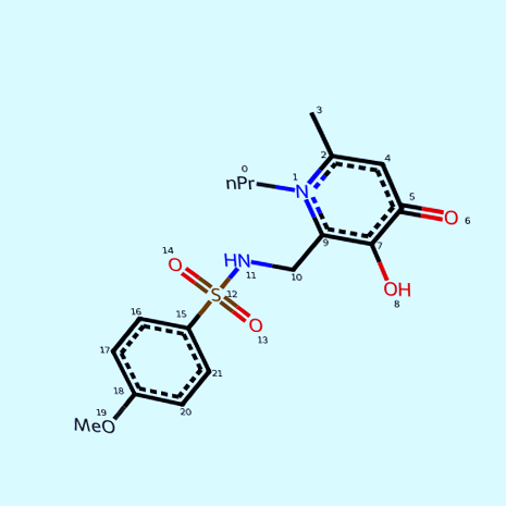 CCCn1c(C)cc(=O)c(O)c1CNS(=O)(=O)c1ccc(OC)cc1